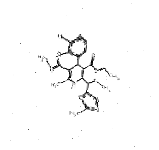 CCOC(=O)C1=C(C(OC)c2nnc(C)o2)NC(C)=C(C(=O)OC)C1c1cccc(Cl)c1Cl